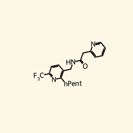 CCCCCc1nc(C(F)(F)F)ccc1CNC(=O)Cc1ccccn1